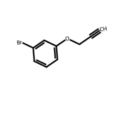 C#CCOc1cccc(Br)c1